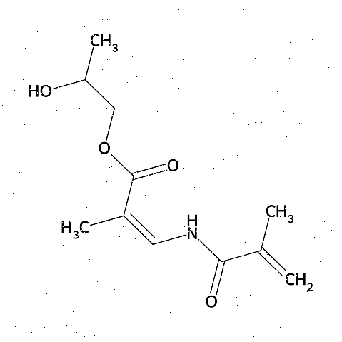 C=C(C)C(=O)NC=C(C)C(=O)OCC(C)O